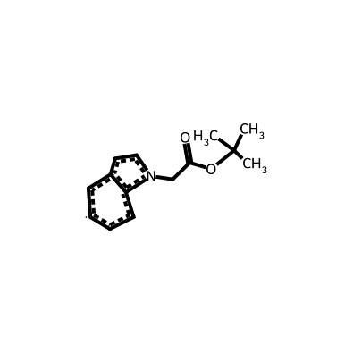 CC(C)(C)OC(=O)Cn1ccc2c[c]ccc21